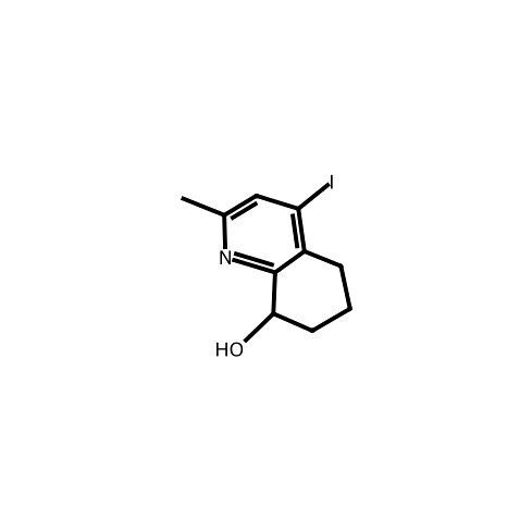 Cc1cc(I)c2c(n1)C(O)CCC2